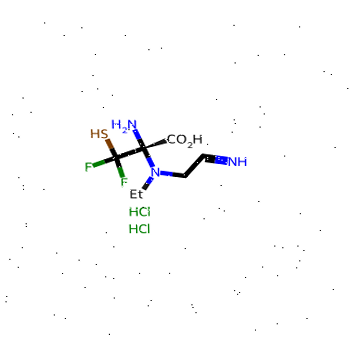 CCN(CC=N)[C@](N)(C(=O)O)C(F)(F)S.Cl.Cl